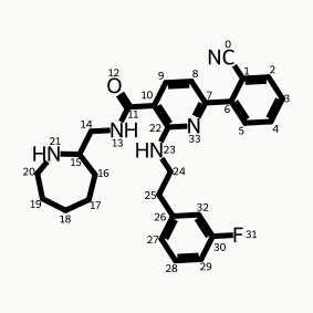 N#Cc1ccccc1-c1ccc(C(=O)NCC2CCCCCN2)c(NCCc2cccc(F)c2)n1